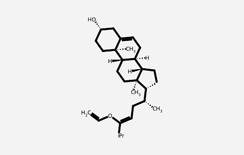 C=COC(=CC[C@@H](C)[C@H]1CC[C@H]2[C@@H]3CC=C4C[C@@H](O)CC[C@]4(C)[C@H]3CC[C@]12C)C(C)C